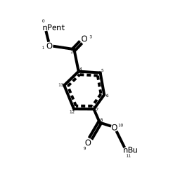 CCCCCOC(=O)c1ccc(C(=O)OCCCC)cc1